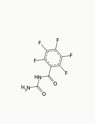 NC(=O)NC(=O)c1c(F)c(F)c(F)c(F)c1F